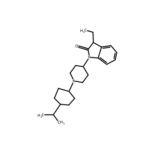 CCC1C(=O)N(C2CCN(C3CCC(C(C)C)CC3)CC2)c2ccccc21